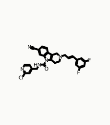 N#Cc1ccc2c3c(n(C(=O)NCc4ccnc(Cl)c4)c2c1)CCN(CC=Cc1cc(F)cc(F)c1)C3